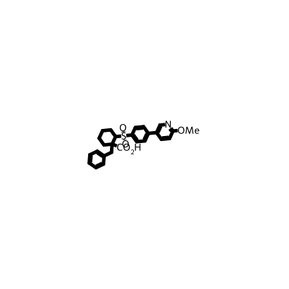 COc1ccc(-c2ccc(S(=O)(=O)C3CCCCC3(Cc3ccccc3)C(=O)O)cc2)cn1